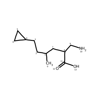 CC(CCC1CC1)CC(CN)C(=O)O